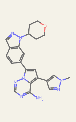 Cn1cc(-c2cc(-c3ccc4cnn(C5CCOCC5)c4c3)n3ncnc(N)c23)cn1